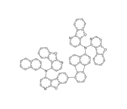 c1cc(-c2ccc3c(c2)oc2nccc(N(c4ccc5ccccc5c4)c4ccnc5oc6ccccc6c45)c23)c2c(c1)-c1ccc(N(c3ccnc4c3oc3ccccc34)c3nccc4oc5ccccc5c34)c3cccc-2c13